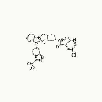 COC(=O)c1noc2cc(-n3c(=O)n(CC4CCC(NC(=O)c5cc(Cl)cnc5C)CC4)c4ccccc43)ccc12